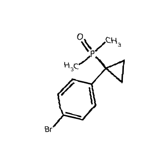 CP(C)(=O)C1(c2ccc(Br)cc2)CC1